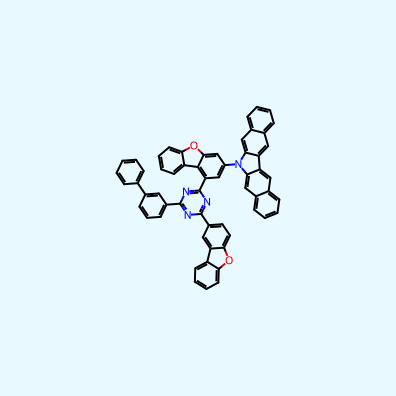 c1ccc(-c2cccc(-c3nc(-c4ccc5oc6ccccc6c5c4)nc(-c4cc(-n5c6cc7ccccc7cc6c6cc7ccccc7cc65)cc5oc6ccccc6c45)n3)c2)cc1